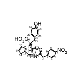 O=C(Cc1ccc([N+](=O)[O-])cc1)N[C@@H](CC1CC=CS1)C(=O)N[C@@H](Cc1ccc(O)cc1)C(=O)O